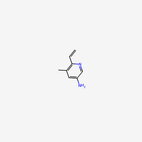 C=Cc1ncc(N)cc1C